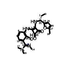 CC[C@@H](Nc1c(Nc2cccc(/C(=N/C)N(C)C)c2O)c(=O)c1=O)c1ccc(C)o1